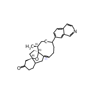 C[C@H]1CCC(c2ccc3ccncc3c2)CC/C=C2/CC3CCC(=O)C[C@]34CC[C@@]21O4